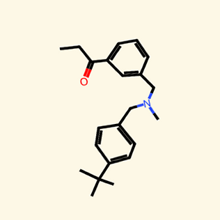 CCC(=O)c1cccc(CN(C)Cc2ccc(C(C)(C)C)cc2)c1